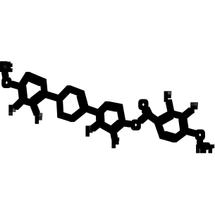 CCCOc1ccc(C(=O)Oc2ccc(C3=CCC(c4ccc(OCC)c(F)c4F)CC3)c(F)c2F)c(F)c1F